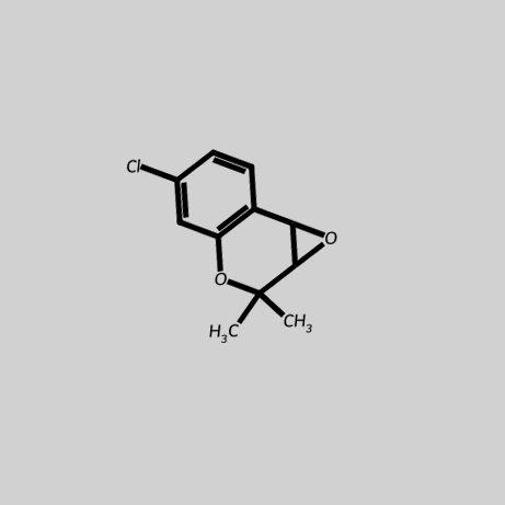 CC1(C)Oc2cc(Cl)ccc2C2OC21